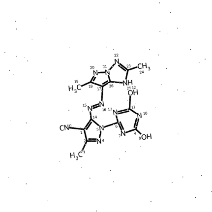 [C-]#[N+]c1c(C)nn(-c2nc(O)nc(O)n2)c1/N=N/c1c(C)nn2nc(C)[nH]c12